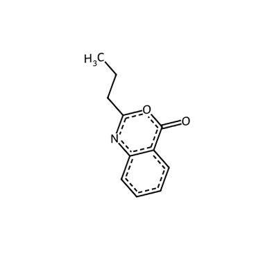 CCCc1nc2ccccc2c(=O)o1